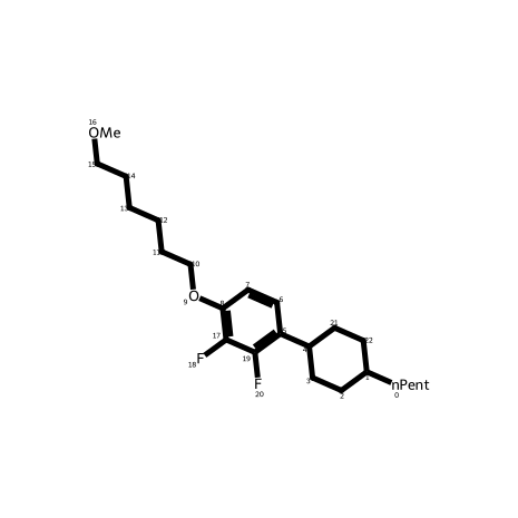 CCCCCC1CCC(c2ccc(OCCCCCCOC)c(F)c2F)CC1